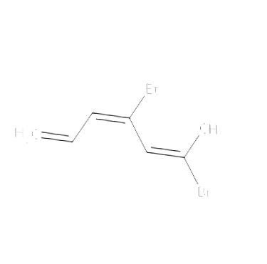 C=C/C=C(\C=C(/C)Br)CC